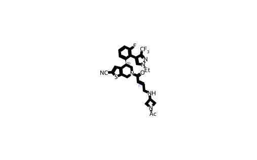 CCn1cc(-c2c(F)cccc2[C@@H]2CN(C(=O)/C=C/CNC3CN(C(C)=O)C3)Cc3sc(C#N)cc32)c(C(F)(F)F)n1